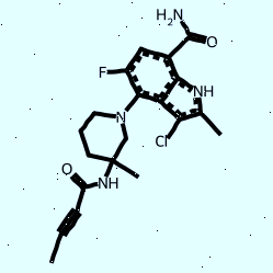 CC#CC(=O)NC1(C)CCCN(c2c(F)cc(C(N)=O)c3[nH]c(C)c(Cl)c23)C1